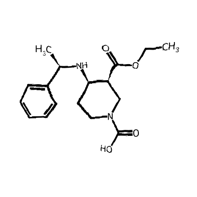 CCOC(=O)[C@H]1CN(C(=O)O)CC[C@H]1N[C@H](C)c1ccccc1